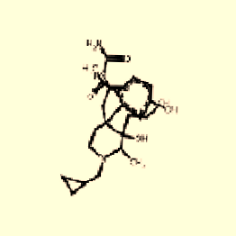 CCCC1(O)C(C)N(CC2CC2)CCC1(CC(=O)NC(N)=O)c1cc(O)ccc1C(C)=O